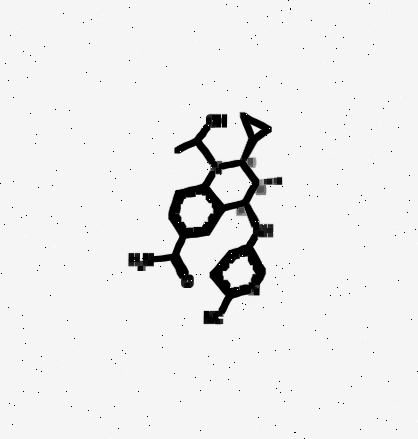 CC(O)N1c2ccc(C(N)=O)cc2[C@H](Nc2ccc(C#N)nc2)[C@@H](C)[C@@H]1C1CC1